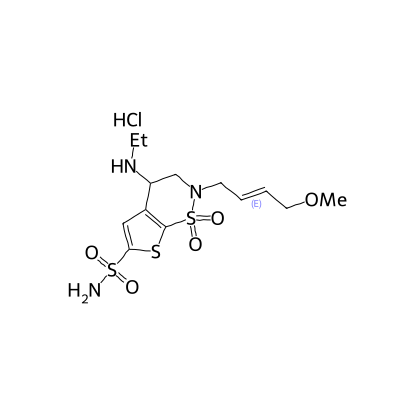 CCNC1CN(C/C=C/COC)S(=O)(=O)c2sc(S(N)(=O)=O)cc21.Cl